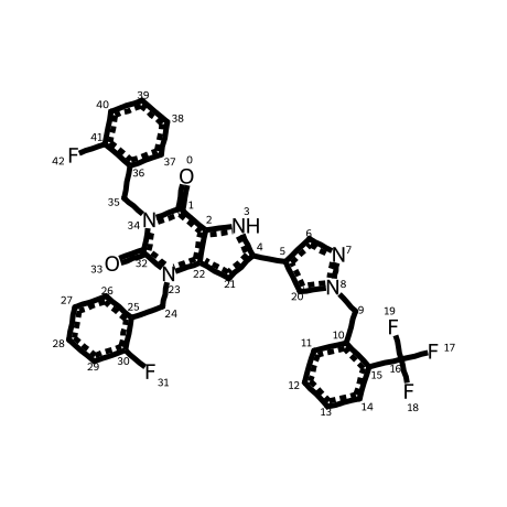 O=c1c2[nH]c(-c3cnn(Cc4ccccc4C(F)(F)F)c3)cc2n(Cc2ccccc2F)c(=O)n1Cc1ccccc1F